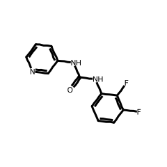 O=C(Nc1cccnc1)Nc1cccc(F)c1F